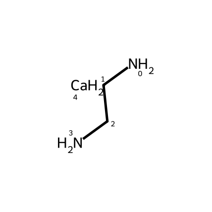 NCCN.[CaH2]